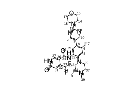 C[C@@H]1CN(c2cc(F)c(-c3cnc(N4CCOCC4)nc3)cc2NC(=O)c2c[nH]c(=O)cc2C(F)F)CCN1C